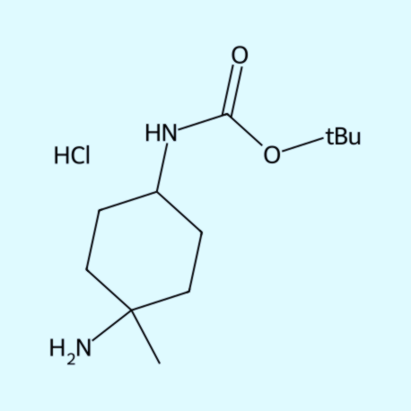 CC1(N)CCC(NC(=O)OC(C)(C)C)CC1.Cl